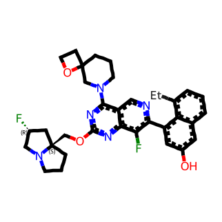 CCc1cccc2cc(O)cc(-c3ncc4c(N5CCCC6(CCO6)C5)nc(OC[C@@]56CCCN5C[C@H](F)C6)nc4c3F)c12